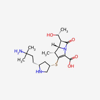 C[C@@H](O)[C@H]1C(=O)N2C(C(=O)O)=C(S[C@@H]3CN[C@H](CCC(C)(C)N)C3)[C@H](C)[C@H]12